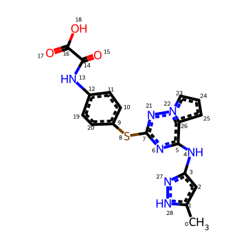 Cc1cc(Nc2nc(Sc3ccc(NC(=O)C(=O)O)cc3)nn3cccc23)n[nH]1